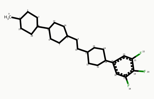 CC1CCC(C2CCC(CCC3CCC(c4cc(F)c(F)c(F)c4)CC3)CC2)CC1